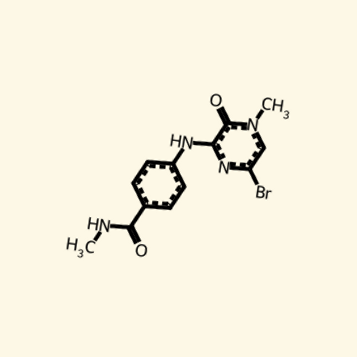 CNC(=O)c1ccc(Nc2nc(Br)cn(C)c2=O)cc1